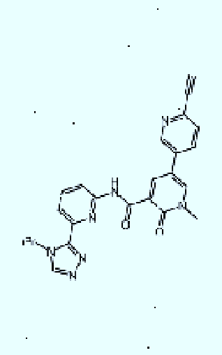 C#Cc1ccc(-c2cc(C(=O)Nc3cccc(-c4nncn4C(C)C)n3)c(=O)n(C)c2)cn1